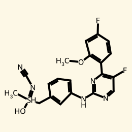 COc1cc(F)ccc1-c1nc(Nc2cccc(C[SH](C)(O)=NC#N)c2)ncc1F